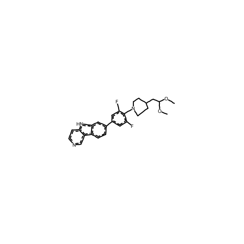 COC(CC1CCN(c2c(F)cc(-c3ccc4c(c3)[nH]c3ccncc34)cc2F)CC1)OC